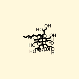 CCCCCCCC(CC(O)CO)C(CC(O)CO)(CC(O)CO)C(CC(O)CO)(CC(O)CO)C(CC(O)CO)(CC(O)CO)C(=O)O